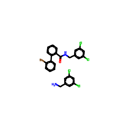 NCc1cc(Cl)cc(Cl)c1.O=C(NCc1cc(Cl)cc(Cl)c1)c1ccccc1-c1ccccc1Br